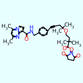 Cc1cc(C)n2ccc(C(=O)NCc3ccc(C#CCC(C)(C)OCCC(C)(C)C(=O)ON4C(=O)CCC4=O)cc3)c2n1